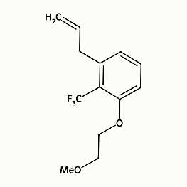 C=CCc1cccc(OCCOC)c1C(F)(F)F